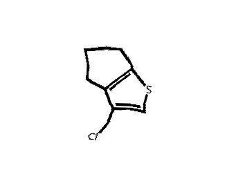 Clc1csc2c1CCC2